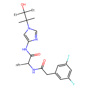 CCCC(NC(=O)Cc1cc(F)cc(F)c1)C(=O)Nc1cn(C(C)(C)C(O)(CC)CC)cn1